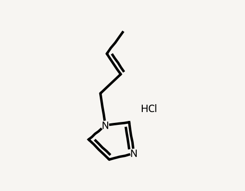 CC=CCn1ccnc1.Cl